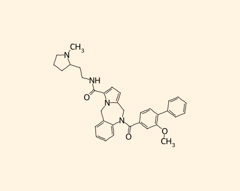 COc1cc(C(=O)N2Cc3ccc(C(=O)NCCC4CCCN4C)n3Cc3ccccc32)ccc1-c1ccccc1